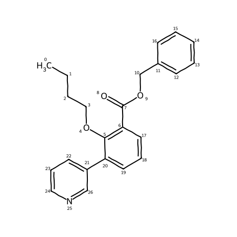 CCCCOc1c(C(=O)OCc2ccccc2)cccc1-c1cccnc1